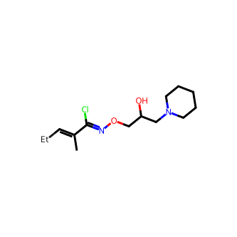 CC/C=C(C)/C(Cl)=N/OCC(O)CN1CCCCC1